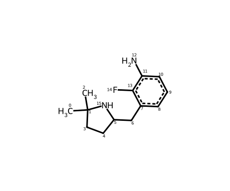 CC1(C)CCC(Cc2cccc(N)c2F)N1